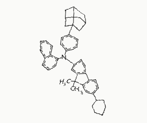 CC1(C)c2cc(C3CCCCC3)ccc2-c2ccc(N(c3ccc(C45CC6CC7CC(C4)C75C6)cc3)c3cccc4ccccc34)cc21